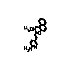 CN(Cc1cccc2ccccc12)C(=O)C=Cc1ccc(N)nc1